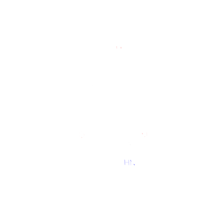 CNC(=O)C1COc2ccc3ccc(OC)cc3c2C1